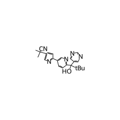 CC(C)(C#N)c1ccc(-c2ccc(C(O)(c3cncnc3)C(C)(C)C)nc2)nc1